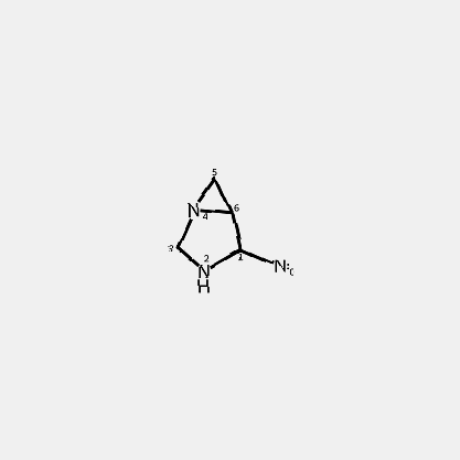 [N]C1NCN2CC12